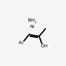 CC(=O)/C=C(/C)O.[BiH3].[Ni]